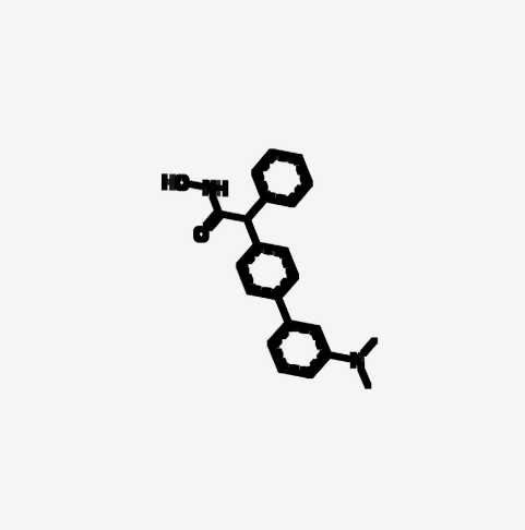 CN(C)c1cccc(-c2ccc(C(C(=O)NO)c3ccccc3)cc2)c1